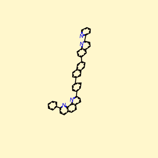 c1ccc(-c2ccc3ccc4ccc(-c5ccc(-c6ccc7cc(-c8ccc9nc(-c%10ccccn%10)ccc9c8)ccc7c6)cc5)nc4c3n2)cc1